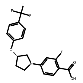 O=C(O)c1ccc(N2CC[C@H](Oc3ccc(C(F)(F)F)cc3)C2)cc1F